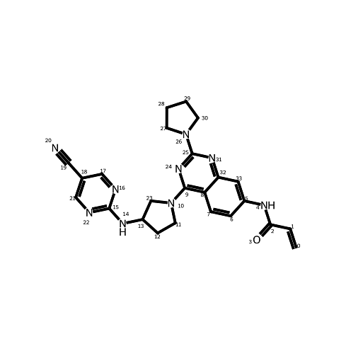 C=CC(=O)Nc1ccc2c(N3CCC(Nc4ncc(C#N)cn4)C3)nc(N3CCCC3)nc2c1